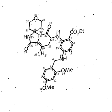 CCOC(=O)c1cnc(NCc2ccc(OC)cc2OC)cc1NC1CC(C)=C2C(=O)NC3(CCOCC3)N2C1=O